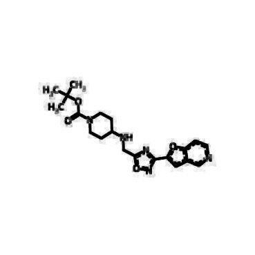 CC(C)(C)OC(=O)N1CCC(NCc2nc(-c3cc4cnccc4o3)no2)CC1